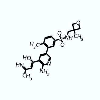 CC(=N)/C=C(\O)c1cc(-c2cc(S(=O)(=O)NCC3(C)COC3)ccc2C)cnc1N